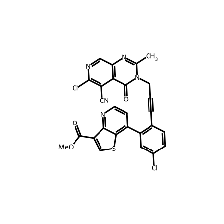 COC(=O)c1csc2c(-c3cc(Cl)ccc3C#CCn3c(C)nc4cnc(Cl)c(C#N)c4c3=O)ccnc12